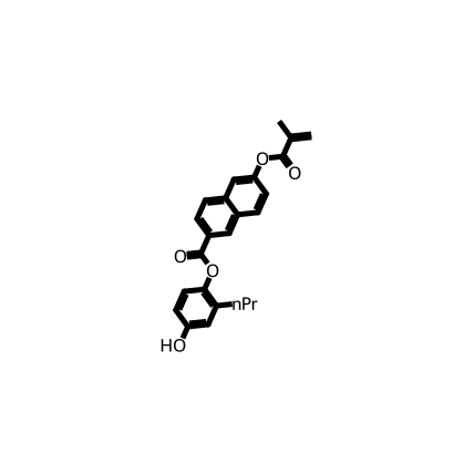 C=C(C)C(=O)Oc1ccc2cc(C(=O)Oc3ccc(O)cc3CCC)ccc2c1